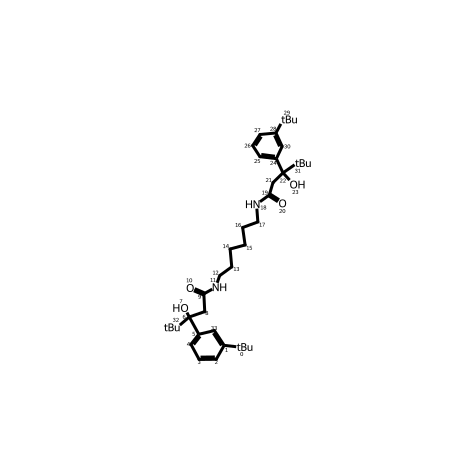 CC(C)(C)c1cccc(C(O)(CC(=O)NCCCCCCNC(=O)CC(O)(c2cccc(C(C)(C)C)c2)C(C)(C)C)C(C)(C)C)c1